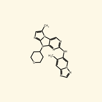 Cc1cc2ncnn2cc1Nc1ncc2c(n1)n(C1CCOCC1)c1ncc(C)n21